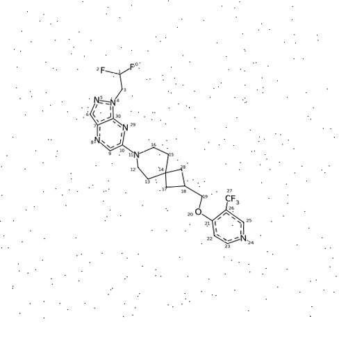 FC(F)Cn1ncc2ncc(N3CCC4(CC3)CC(COc3ccncc3C(F)(F)F)C4)nc21